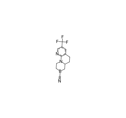 N#CB1CCN2c3ncc(C(F)(F)F)cc3CCC2C1